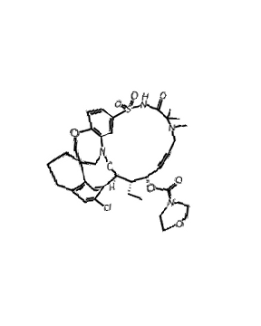 CC[C@H]1[C@@H](OC(=O)N2CCOCC2)/C=C/CN(C)C(C)(C)C(=O)NS(=O)(=O)c2ccc3c(c2)N2C[C@@H]1c1cc4c(cc1Cl)CCC[C@@]4(CO3)C2